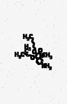 CCCCCCOc1c(OCC=C(C)C)c2ccc(N)cc2n(C)c1=O